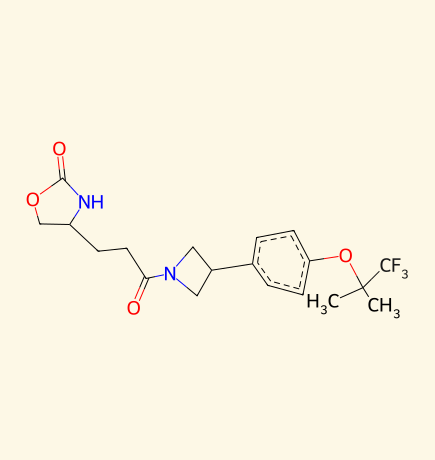 CC(C)(Oc1ccc(C2CN(C(=O)CCC3COC(=O)N3)C2)cc1)C(F)(F)F